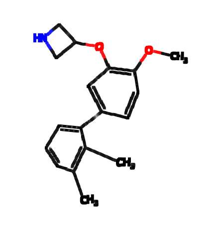 COc1ccc(-c2cccc(C)c2C)cc1OC1CNC1